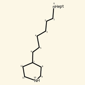 CCCCCCCCCCCC[CH]C1CCNCC1